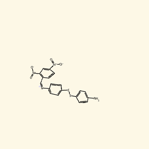 Nc1ccc(SSc2ccc(/N=C\c3ccc([N+](=O)[O-])cc3[N+](=O)[O-])cc2)cc1